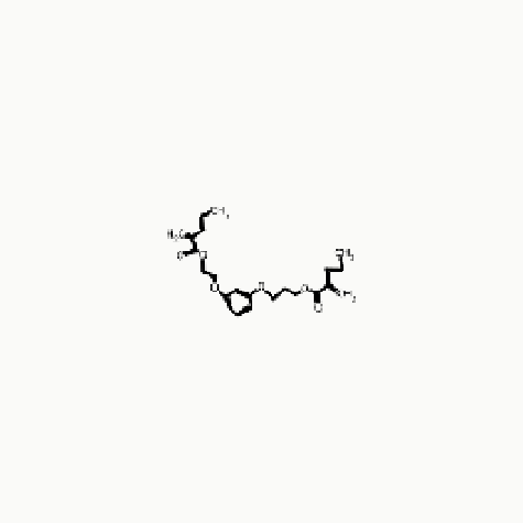 C=C(/C=C/C)C(=O)OCCCOc1cccc(OCCOC(=O)C(=C)/C=C/C)c1